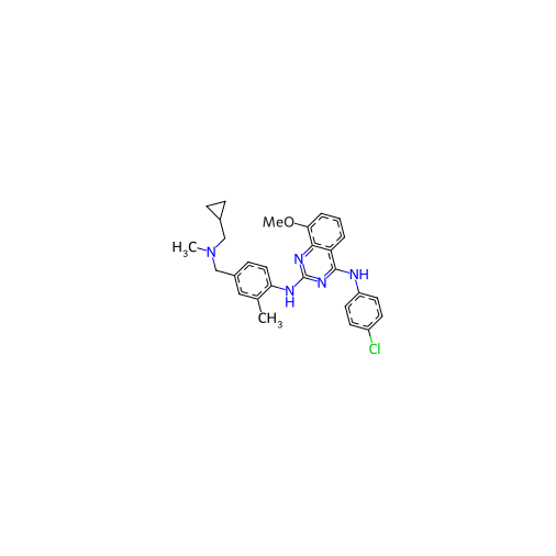 COc1cccc2c(Nc3ccc(Cl)cc3)nc(Nc3ccc(CN(C)CC4CC4)cc3C)nc12